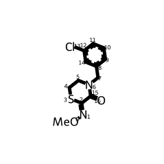 CON=C1SCCN(Cc2cccc(Cl)c2)C1=O